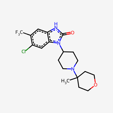 CC1(N2CCC(n3c(=O)[nH]c4cc(C(F)(F)F)c(Cl)cc43)CC2)CCOCC1